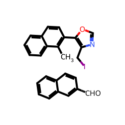 Cc1c(-c2ocnc2CI)ccc2ccccc12.O=Cc1ccc2ccccc2c1